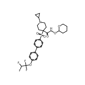 O=C(NOC1CCCCO1)C1(S(=O)(=O)c2ccc(-c3ccc(OC(F)(F)C(F)F)cc3)cc2)CCN(C2CC2)CC1